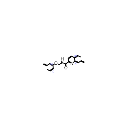 C=C/C=C(\C=C/C)OCBC(=O)c1ccc(=C/C)/c(=C\C=C)n1